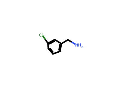 NCc1cc[c]c(Cl)c1